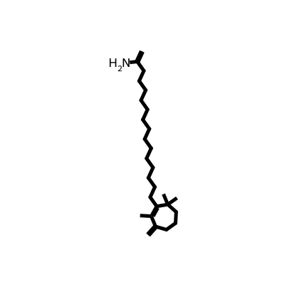 C=C(N)CCCCCCCCCCCCCCC1=C(C)C(=C)CCCC1(C)C